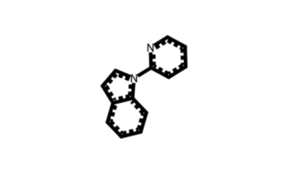 c1ccc(-n2ccc3ccccc32)nc1